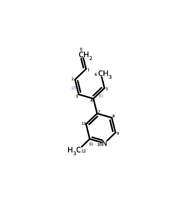 C=C/C=C\C(=C/C)c1ccnc(C)c1